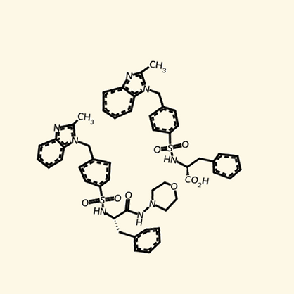 Cc1nc2ccccc2n1Cc1ccc(S(=O)(=O)N[C@@H](Cc2ccccc2)C(=O)NN2CCOCC2)cc1.Cc1nc2ccccc2n1Cc1ccc(S(=O)(=O)N[C@@H](Cc2ccccc2)C(=O)O)cc1